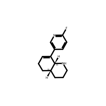 Fc1ccc(C2=CCC[C@H]3CCCN[C@@H]23)cn1